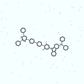 Cc1cc(-n2c3ccccc3c3cc(N(c4ccccc4)c4ccccc4)ccc32)cc(C)c1-c1ccc(-c2ccc(-c3cc(-c4ccccc4)nc(-c4ccccc4)n3)cc2)cc1